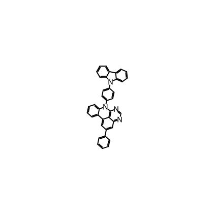 c1ccc(-c2cc3c4c(ncnc4c2)N(c2ccc(-n4c5ccccc5c5ccccc54)cc2)c2ccccc2-3)cc1